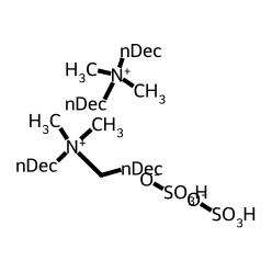 CCCCCCCCCCC[N+](C)(C)CCCCCCCCCC.CCCCCCCCCC[N+](C)(C)CCCCCCCCCC.O=S(=O)([O-])O.O=S(=O)([O-])O